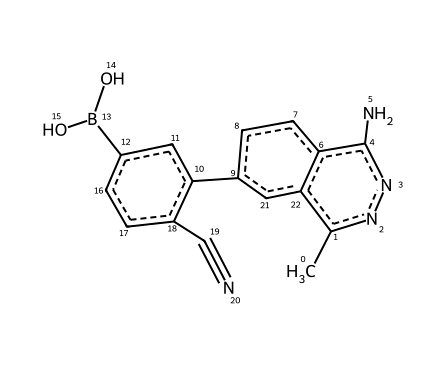 Cc1nnc(N)c2ccc(-c3cc(B(O)O)ccc3C#N)cc12